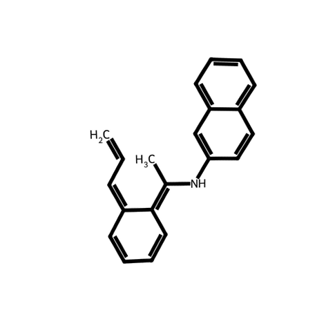 C=C/C=c1/cccc/c1=C(/C)Nc1ccc2ccccc2c1